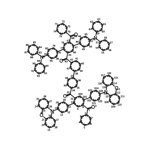 O=C(c1ccccc1)c1cc(-c2ccc(N3c4ccccc4Oc4ccccc43)cc2)c(C(=O)c2ccc(-c3cccc(C(=O)c4cc(-c5ccc(N(c6ccccc6)c6ccccc6)cc5)c(C(=O)c5ccccc5)cc4-c4ccc(N(c5ccccc5)c5ccccc5)cc4)c3)cc2)cc1-c1ccc(N2c3ccccc3Oc3ccccc32)cc1